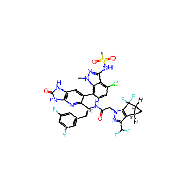 Cn1nc(NS(C)(=O)=O)c2c(Cl)ccc(-c3cc4[nH]c(=O)[nH]c4nc3[C@H](Cc3cc(F)cc(F)c3)NC(=O)Cn3nc(C(F)F)c4c3C(F)(F)[C@@H]3C[C@H]43)c21